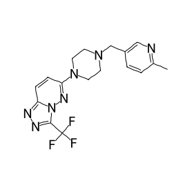 Cc1ccc(CN2CCN(c3ccc4nnc(C(F)(F)F)n4n3)CC2)cn1